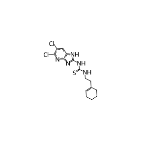 S=C(NCCC1=CCCCC1)Nc1nc2nc(Cl)c(Cl)cc2[nH]1